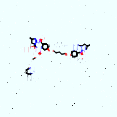 C=C1CC2C=Nc3cc(OCCCCCOc4cc5c(cc4OC)C(=O)N4CC(=C)C[C@H]4[C@H](O)N5C(=O)OCCSSc4ccc(N=O)cn4)c(OC)cc3C(=O)N2C1